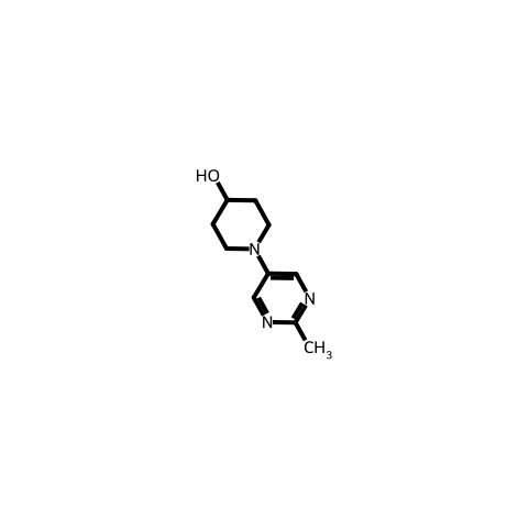 Cc1ncc(N2CCC(O)CC2)cn1